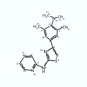 Cc1cc(-c2csc(Nc3cnccn3)n2)cc(C)c1N(C)C